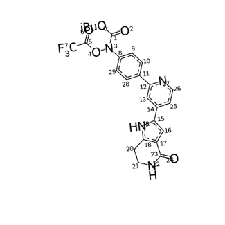 CC(C)COC(=O)N(OC(=O)C(F)(F)F)c1ccc(-c2cc(-c3cc4c([nH]3)CCNC4=O)ccn2)cc1